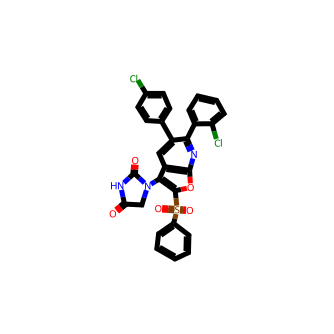 O=C1CN(c2c(S(=O)(=O)c3ccccc3)oc3nc(-c4ccccc4Cl)c(-c4ccc(Cl)cc4)cc23)C(=O)N1